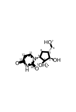 C[C@@]1(O)[C@H](O)[C@@H](CO)C[C@H]1n1ccc(=O)[nH]c1=O